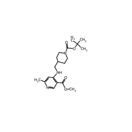 COC(=O)c1cnc(C)cc1NCC1CCN(C(=O)OC(C)(C)C)CC1